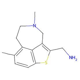 Cc1ccc2sc(CN)c3c2c1CCN(C)C3